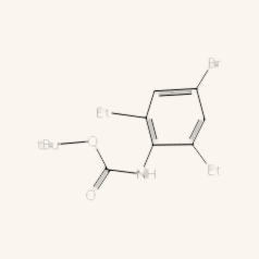 CCc1cc(Br)cc(CC)c1NC(=O)OC(C)(C)C